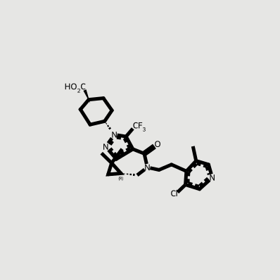 Cc1cncc(Cl)c1CCN(C[C@@H]1CC1(C)C)C(=O)c1cnn([C@H]2CC[C@H](C(=O)O)CC2)c1C(F)(F)F